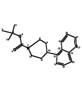 CC(C)(C)OC(=O)N1CCC(c2cccc3ncccc23)CC1